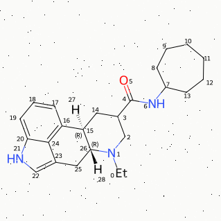 CCN1CC(C(=O)NC2CCCCCC2)C[C@@H]2c3cccc4[nH]cc(c34)C[C@H]21